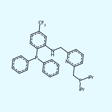 CC(C)P(Cc1cccc(CNc2cc(C(F)(F)F)ccc2P(c2ccccc2)c2ccccc2)n1)C(C)C